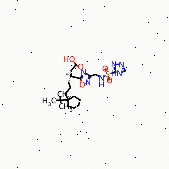 CC(C)(C)C1(CCC[C@H](CC(=O)O)c2nc(CNS(=O)(=O)c3nnc[nH]3)no2)CCCCC1